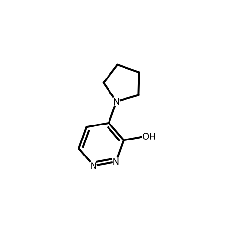 Oc1nnccc1N1CCCC1